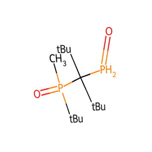 CC(C)(C)C([PH2]=O)(C(C)(C)C)P(C)(=O)C(C)(C)C